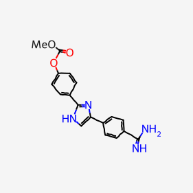 COC(=O)Oc1ccc(-c2nc(-c3ccc(C(=N)N)cc3)c[nH]2)cc1